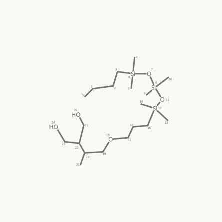 CCCC[Si](C)(C)O[Si](C)(C)O[Si](C)(C)CCCOCC(C)C(CO)CO